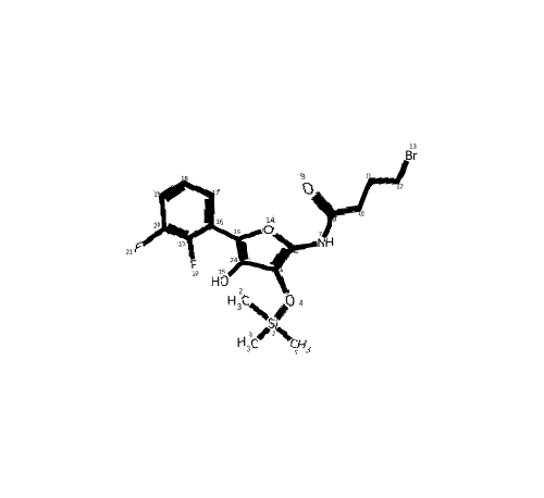 C[Si](C)(C)Oc1c(NC(=O)CCCBr)oc(-c2cccc(F)c2F)c1O